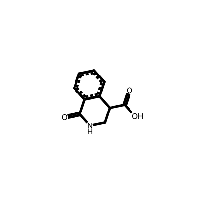 O=C1NCC(C(=O)O)c2ccccc21